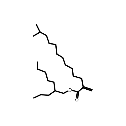 C=C(CCCCCCCCCC(C)C)C(=O)OCC(CCC)CCCCC